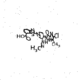 CCCN[C@H]1CN(c2nc3cccc(C(=O)O)c3s2)CC[C@H]1NC(=O)c1nc(Cl)c(CC)[nH]1